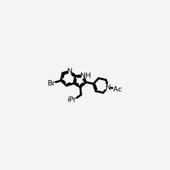 CC(=O)N1CC=C(c2[nH]c3ncc(Br)cc3c2CC(C)C)CC1